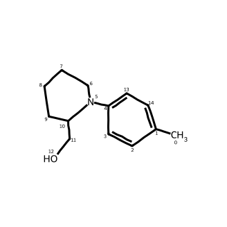 Cc1ccc(N2CCCCC2CO)cc1